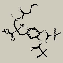 CCCC(=O)O[C@@H](C)CC(N)(Cc1ccc(OC(=O)C(C)(C)C)c(OC(=O)C(C)(C)C)c1)C(=O)O